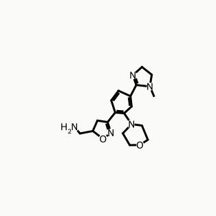 CN1CCN=C1c1ccc(C2=NOC(CN)C2)c(N2CCOCC2)c1